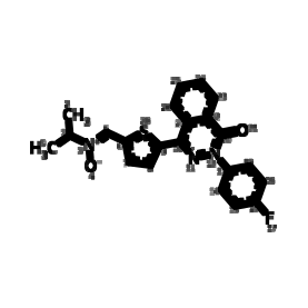 CC(C)/[N+]([O-])=C/c1ccc(-c2nn(-c3ccc(F)cc3)c(=O)c3ccccc23)s1